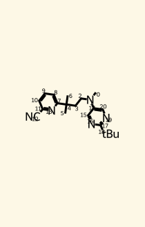 CN(CCC(C)(C)c1cccc(C#N)n1)c1cnc(C(C)(C)C)nc1